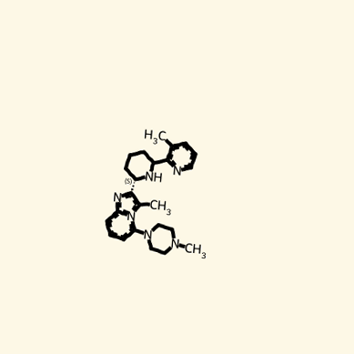 Cc1cccnc1C1CCC[C@@H](c2nc3cccc(N4CCN(C)CC4)n3c2C)N1